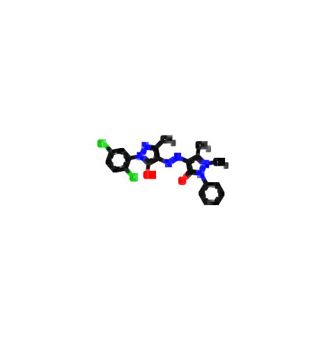 Cc1nn(-c2cc(Cl)ccc2Cl)c(O)c1/N=N/c1c(C)n(C)n(-c2ccccc2)c1=O